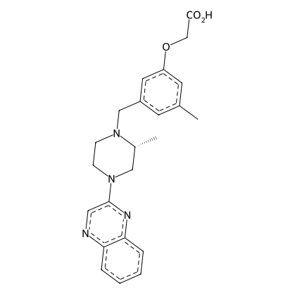 Cc1cc(CN2CCN(c3cnc4ccccc4n3)C[C@H]2C)cc(OCC(=O)O)c1